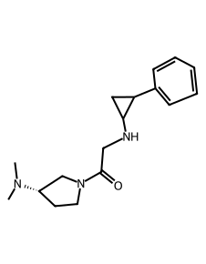 CN(C)[C@H]1CCN(C(=O)CNC2CC2c2ccccc2)C1